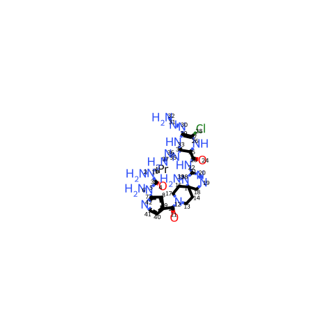 CC(C)N(N)C(=O)N(N)c1cc(C(=O)N2CCC3(CC2)CN=NC(NC(=O)C2NC(Cl)=C(N=NN)NC2N=NN)N3N)ccn1